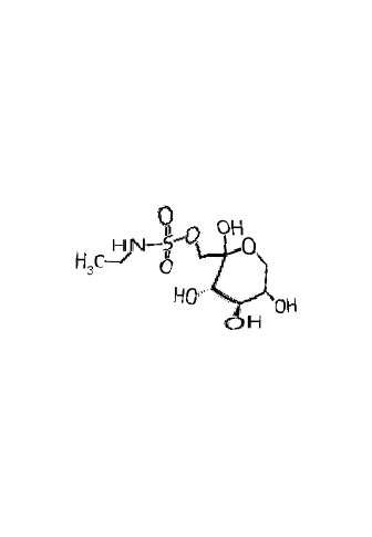 CCNS(=O)(=O)OCC1(O)OC[C@@H](O)[C@@H](O)[C@@H]1O